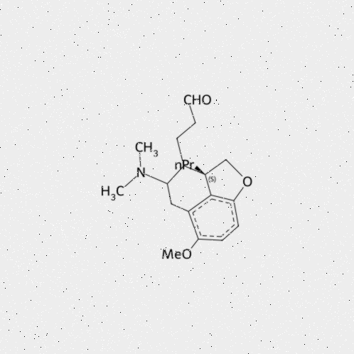 CCC[C@@]12COc3ccc(OC)c(c31)CC(N(C)C)C2CCC=O